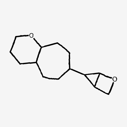 C1COC2CCC(C3C4COC43)CCC2C1